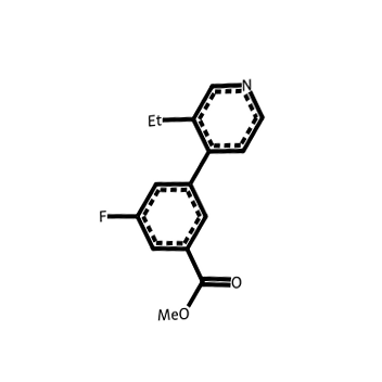 CCc1cnccc1-c1cc(F)cc(C(=O)OC)c1